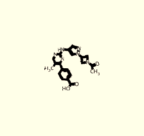 CC(=O)N1CC(n2cc(Nc3ncc(C)c(-c4ccc(C(=O)O)cc4)n3)cn2)C1